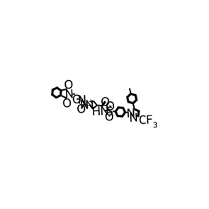 Cc1ccc(-c2cc(C(F)(F)F)nn2-c2ccc(S(=O)(=O)NC(=O)C3CN([N+]([O-])=NOCN4C(=O)c5ccccc5C4=O)C3)cc2)cc1